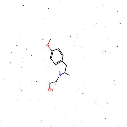 COc1ccc(CC(C)NC[CH]O)cc1